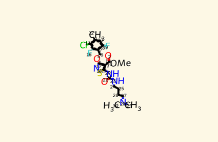 COC(=O)c1c(OCc2c(F)cc(C)c(Cl)c2F)nsc1NC(=O)NCCCCN(C)C